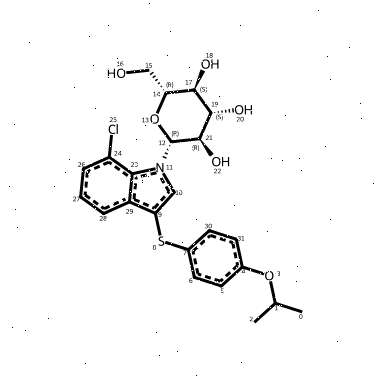 CC(C)Oc1ccc(Sc2cn([C@@H]3O[C@H](CO)[C@@H](O)[C@H](O)[C@H]3O)c3c(Cl)cccc23)cc1